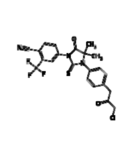 CC1(C)C(=O)N(c2ccc(C#N)c(C(F)(F)F)c2)C(=S)N1c1ccc(CC(=O)CCl)cc1